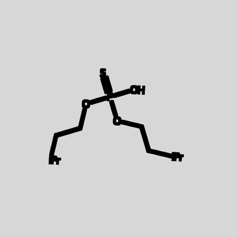 CC(C)CCOP(O)(=S)OCCC(C)C